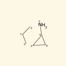 CCC.NC1CC1